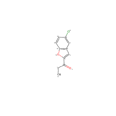 N#CCC(=O)c1cc2cc(Cl)ccc2o1